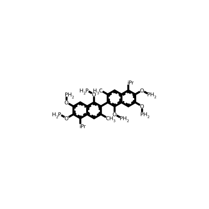 Cc1cc2c(C(C)C)c(OP)c(OP)cc2c(OP)c1-c1c(C)cc2c(C(C)C)c(OP)c(OP)cc2c1OP